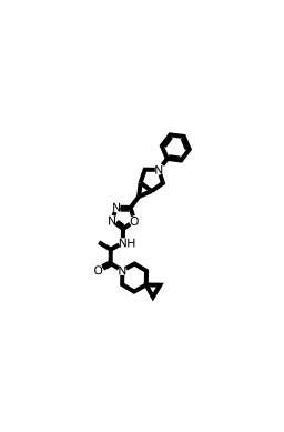 CC(Nc1nnc(C2C3CN(c4ccccc4)CC32)o1)C(=O)N1CCC2(CC1)CC2